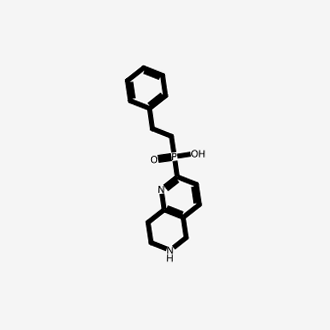 O=P(O)(CCc1ccccc1)c1ccc2c(n1)CCNC2